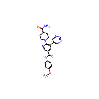 NC(=O)C1CCN(c2ncc(C(=O)Nc3ccc(OC(F)(F)F)cc3)cc2-c2cncnc2)CC1